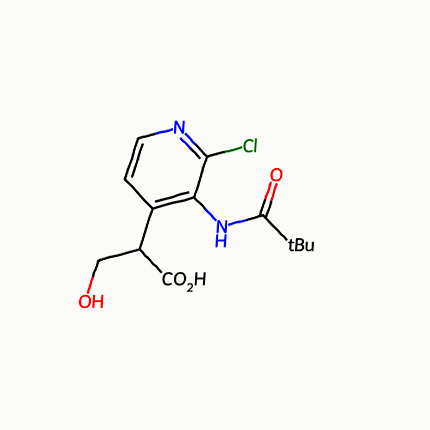 CC(C)(C)C(=O)Nc1c(C(CO)C(=O)O)ccnc1Cl